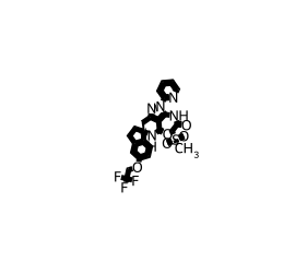 CS(=O)(=O)CC(=O)Nc1c2c(nn1-c1ccccn1)C[C@@]1(CCc3cc(OCC(F)(F)F)ccc31)NC2=O